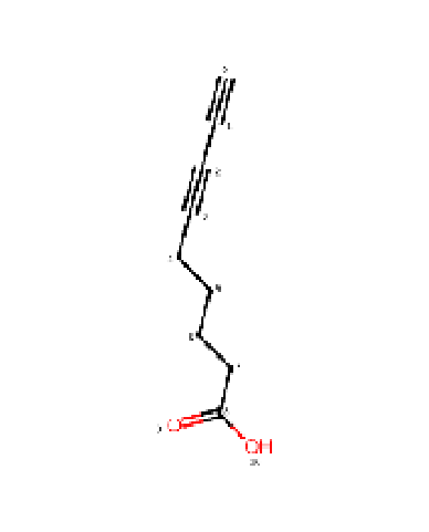 C#CC#CCCCCC(=O)O